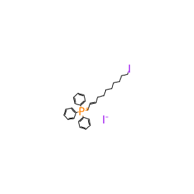 ICCCCCCCCC=CC[P+](c1ccccc1)(c1ccccc1)c1ccccc1.[I-]